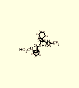 O=C(O)OC1=C(C(=O)Nc2sc3c(c2-c2nc(C(F)(F)F)no2)CCCC3)C2CCC1CC2